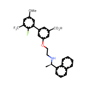 COc1cc(-c2cc(OCCN[C@H](C)c3cccc4ccccc34)cc(C(=O)O)c2)c(F)c(C(F)(F)F)c1